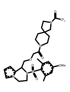 COc1cc(C)c(S(=O)(=O)N2CCn3cccc3C2COCC(=O)N2CCC3(CC2)CCN(C(=O)C(F)(F)F)C3)c(C)c1